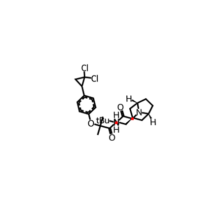 CC(C)(C)NC(=O)CN1[C@@H]2CC[C@H]1C[C@H](CNC(=O)C(C)(C)Oc1ccc(C3CC3(Cl)Cl)cc1)C2